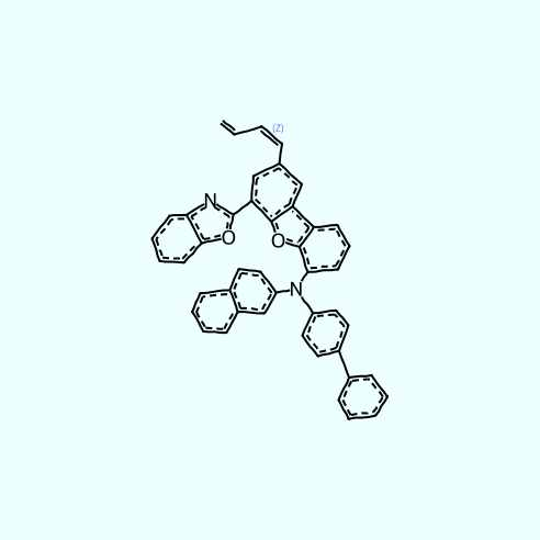 C=C/C=C\c1cc(-c2nc3ccccc3o2)c2oc3c(N(c4ccc(-c5ccccc5)cc4)c4ccc5ccccc5c4)cccc3c2c1